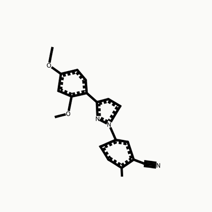 COc1ccc(-c2ccn(-c3ccc(C)c(C#N)c3)n2)c(OC)c1